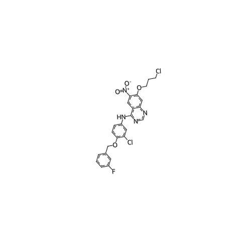 O=[N+]([O-])c1cc2c(Nc3ccc(OCc4cccc(F)c4)c(Cl)c3)ncnc2cc1OCCCCl